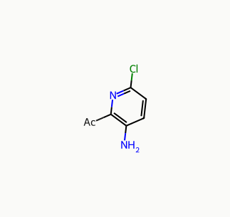 CC(=O)c1nc(Cl)ccc1N